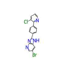 Clc1cccnc1-c1ccc(-c2nc3ncc(Br)cc3[nH]2)cc1